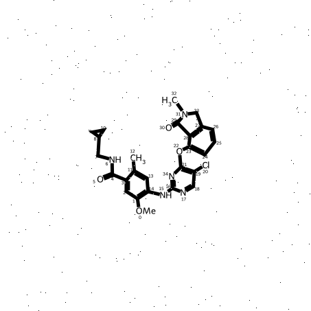 COc1cc(C(=O)NCC2CC2)c(C)cc1Nc1ncc(Cl)c(Oc2cccc3c2C(=O)N(C)C3)n1